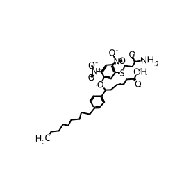 CCCCCCCCCc1ccc(C(CCCCC(=O)O)Oc2cc(SCCC(N)=O)c([N+](=O)[O-])cc2[N+](=O)[O-])cc1